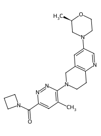 Cc1cc(C(=O)N2CCC2)nnc1N1CCc2ncc(N3CCO[C@H](C)C3)cc2C1